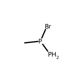 CP(P)Br